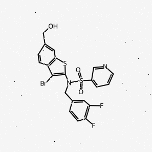 O=S(=O)(c1cccnc1)N(Cc1ccc(F)c(F)c1)c1sc2cc(CO)ccc2c1Br